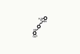 Nc1ccccc1NC(=O)C=Cc1ccc(CNc2ccc3c(c2)OCO3)cc1